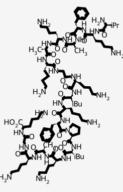 CC[C@H](C)[C@H](NC(=O)[C@H](CCCCN)NC(=O)CNC(=O)[C@H](CCCCN)NC(=O)[C@H](C)NC(=O)[C@H](CCCCN)NC(=O)[C@H](C)NC(=O)[C@H](Cc1ccccc1)NC(=O)[C@H](CCCCN)NC(=O)[C@@H](N)C(C)C)C(=O)N[C@@H](CCCCN)C(=O)N[C@@H](Cc1ccccc1)C(=O)N1CCC[C@H]1C(=O)N[C@H](C(=O)N[C@@H](CCCCN)C(=O)N[C@@H](C)C(=O)N[C@@H](CCCCN)C(=O)NCC(=O)N[C@@H](CCCCN)C(=O)O)[C@@H](C)CC